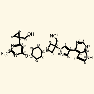 N#CCC1(n2cc(-c3ncnc4[nH]ccc34)cn2)CN([C@H]2CC[C@@H](Oc3cc(C4(CO)CC4)nc(C(F)(F)F)n3)CC2)C1